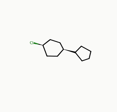 Cl[C@H]1CC[C@@H](C2CCCC2)CC1